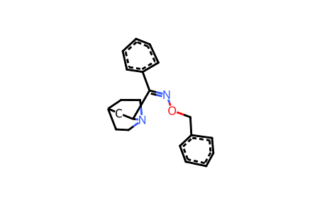 c1ccc(CO/N=C(/c2ccccc2)C2CC3CCN2CC3)cc1